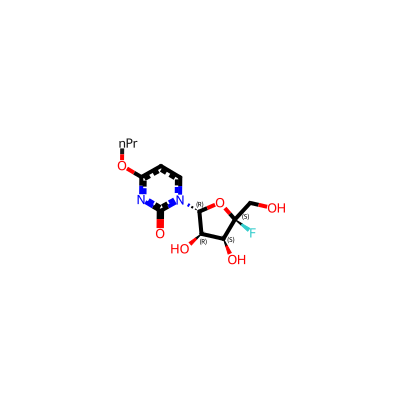 CCCOc1ccn([C@@H]2O[C@](F)(CO)[C@@H](O)[C@H]2O)c(=O)n1